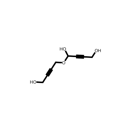 OCC#CCOC(O)C#CCO